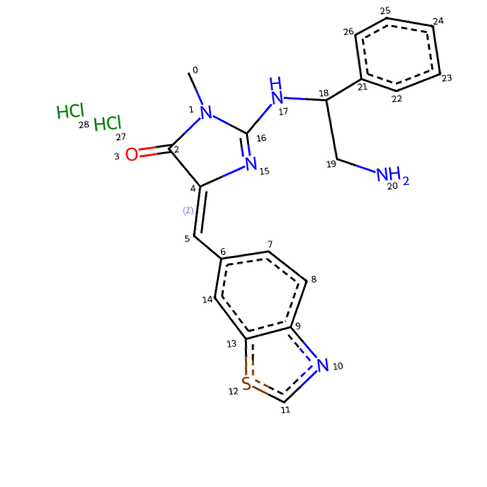 CN1C(=O)/C(=C/c2ccc3ncsc3c2)N=C1NC(CN)c1ccccc1.Cl.Cl